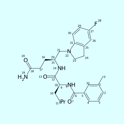 Cc1cccc(C(=O)N[C@@H](CC(C)C)C(=O)N[C@@H](CCC(N)=O)CN2CCc3cc(F)ccc32)c1